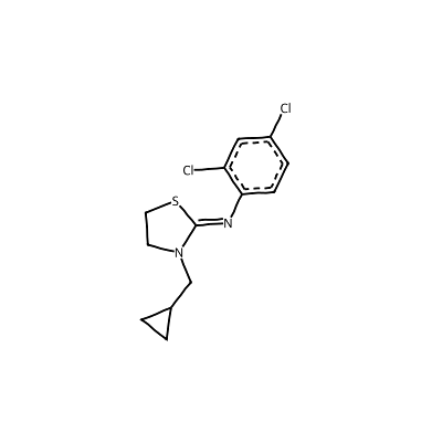 Clc1ccc(/N=C2\SCCN2CC2CC2)c(Cl)c1